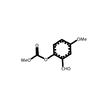 COC(=O)Oc1ccc(OC)cc1C=O